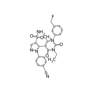 CCn1c(=O)c(-c2c(S(N)(=O)=O)cnn2-c2ccc(C#N)cc2)c(C)n(-c2cccc(CF)c2)c1=O